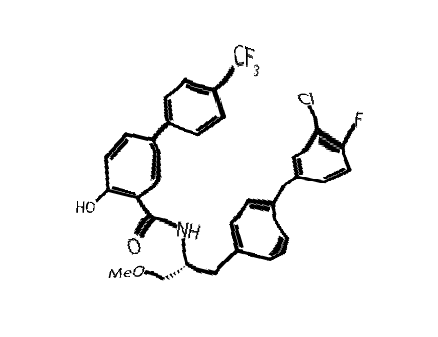 COC[C@@H](Cc1ccc(-c2ccc(F)c(Cl)c2)cc1)NC(=O)c1cc(-c2ccc(C(F)(F)F)cc2)ccc1O